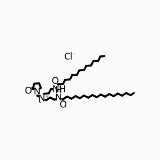 CCCCCCCCCCCCCCCCCC(=O)NCCC[N+](C)(CCCNC(=O)CCCCCCCCCCCCC)CN1CCCC1=O.[Cl-]